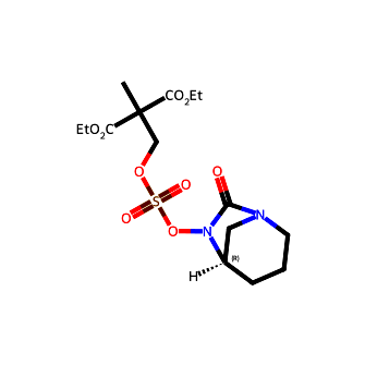 CCOC(=O)C(C)(COS(=O)(=O)ON1C(=O)N2CCC[C@@H]1C2)C(=O)OCC